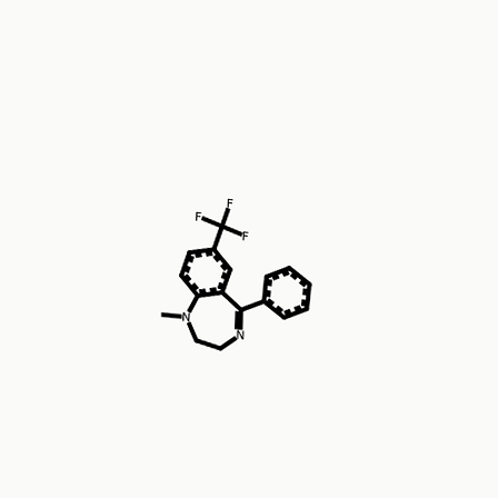 CN1CCN=C(c2ccccc2)c2cc(C(F)(F)F)ccc21